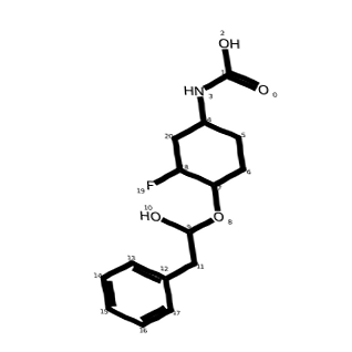 O=C(O)NC1CCC(OC(O)Cc2ccccc2)C(F)C1